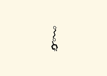 [O]CCCCOCc1ccncc1